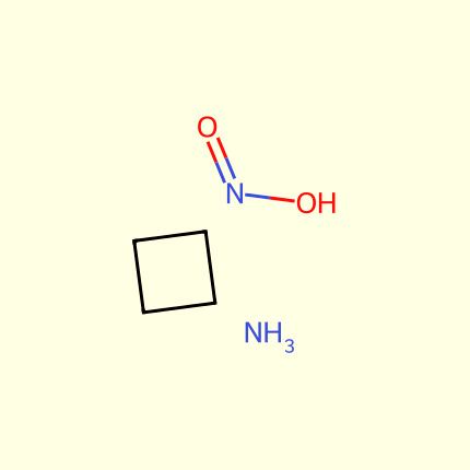 C1CCC1.N.O=NO